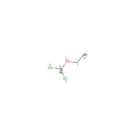 CC(C)CO[SiH](Cl)Cl